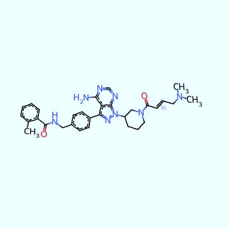 Cc1ccccc1C(=O)NCc1ccc(-c2nn(C3CCCN(C(=O)/C=C/CN(C)C)C3)c3ncnc(N)c23)cc1